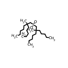 CCCCCC(C)(CCCCC)CS(=O)(=O)CC(C)(CCCCC)CCCCC